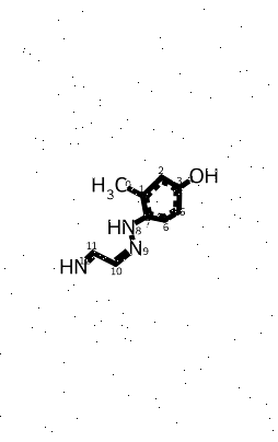 Cc1cc(O)ccc1N/N=C\C=N